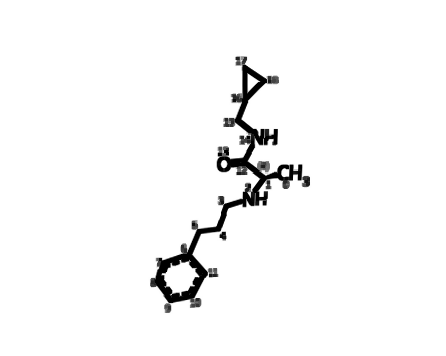 C[C@@H](NCCCc1ccccc1)C(=O)NCC1CC1